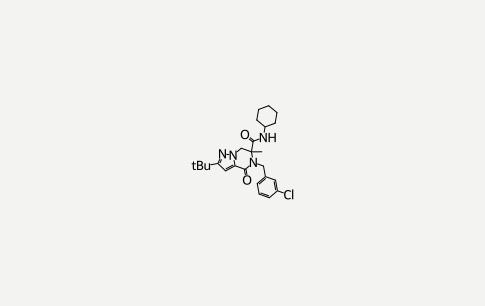 CC(C)(C)c1cc2n(n1)CC(C)(C(=O)NC1CCCCC1)N(Cc1cccc(Cl)c1)C2=O